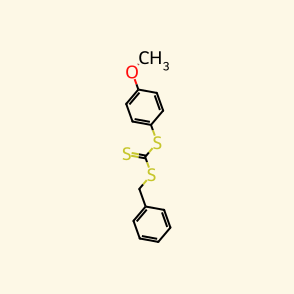 COc1ccc(SC(=S)SCc2ccccc2)cc1